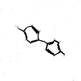 Cc1[c]cc(-c2ccc(F)cc2)cc1